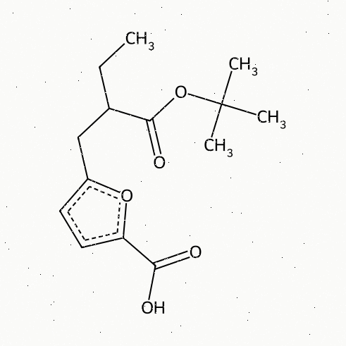 CCC(Cc1ccc(C(=O)O)o1)C(=O)OC(C)(C)C